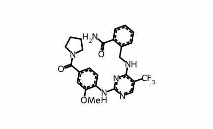 COc1cc(C(=O)N2CCCC2)ccc1Nc1ncc(C(F)(F)F)c(NCc2ccccc2C(N)=O)n1